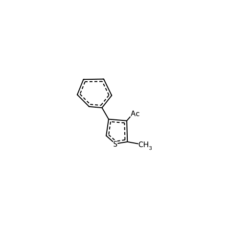 CC(=O)c1c(-c2ccccc2)csc1C